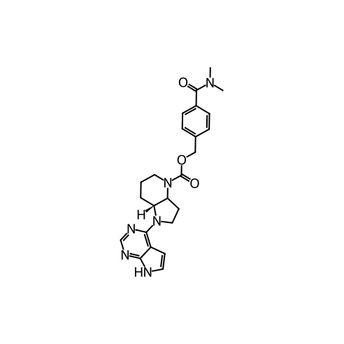 CN(C)C(=O)c1ccc(COC(=O)N2CCC[C@@H]3C2CCN3c2ncnc3[nH]ccc23)cc1